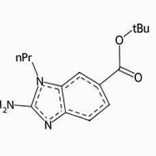 CCCn1c(N)nc2ccc(C(=O)OC(C)(C)C)cc21